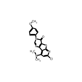 COc1ccc(-n2cnc3c(sc4nc(Cl)cc(N(C)C)c43)c2=O)cc1